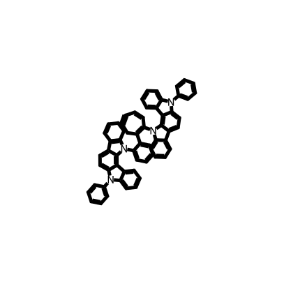 C1#CCC(c2ccccc2-n2c3c(c4ccc5c(c6ccccc6n5-c5ccccc5)c42)C=CCC3)=C(n2c3ccccc3c3ccc4c(c5ccccc5n4-c4ccccc4)c32)C=C1